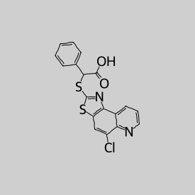 O=C(O)C(Sc1nc2c(cc(Cl)c3ncccc32)s1)c1ccccc1